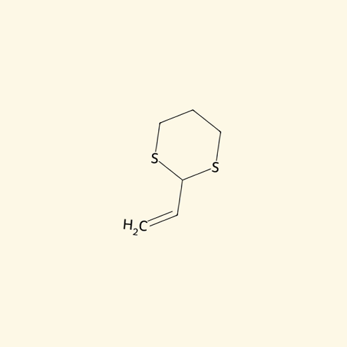 C=CC1SCCCS1